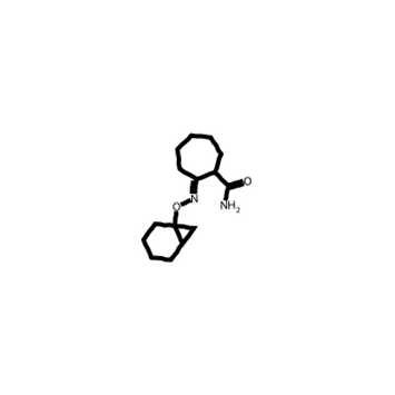 NC(=O)C1CCCCCC1=NOC12CCCCC1C2